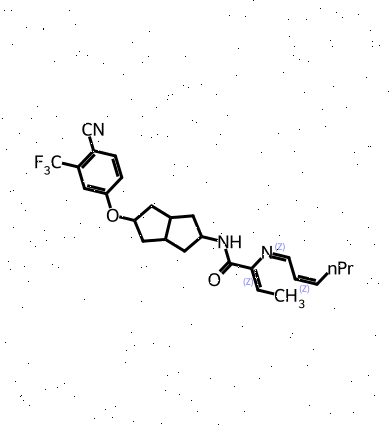 C\C=C(/N=C\C=C/CCC)C(=O)NC1CC2CC(Oc3ccc(C#N)c(C(F)(F)F)c3)CC2C1